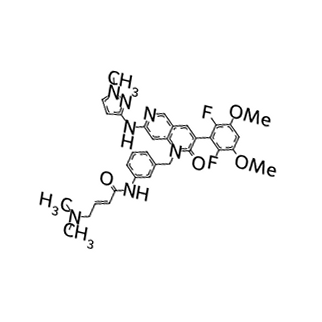 COc1cc(OC)c(F)c(-c2cc3cnc(Nc4ccn(C)n4)cc3n(Cc3cccc(NC(=O)/C=C/CN(C)C)c3)c2=O)c1F